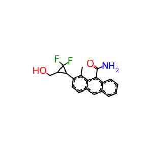 Cc1c(C2C(CO)C2(F)F)ccc2cc3ccccc3c(C(N)=O)c12